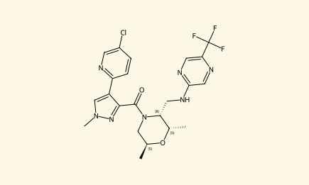 C[C@@H]1O[C@@H](C)CN(C(=O)c2nn(C)cc2-c2ccc(Cl)cn2)[C@@H]1CNc1cnc(C(F)(F)F)cn1